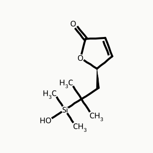 CC(C)(C[C@@H]1C=CC(=O)O1)[Si](C)(C)O